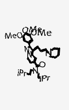 COc1cc(-c2nn3ccc(C(=O)N(CCC(C)C)CCC(C)C)cc3c2CCCN2CCCCC2)cc(OC)c1OC